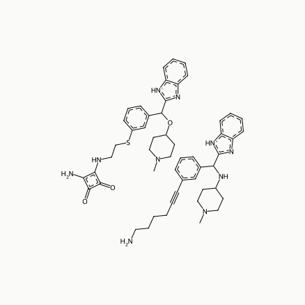 CN1CCC(NC(c2cccc(C#CCCCCN)c2)c2nc3ccccc3[nH]2)CC1.CN1CCC(OC(c2cccc(SCCNc3c(N)c(=O)c3=O)c2)c2nc3ccccc3[nH]2)CC1